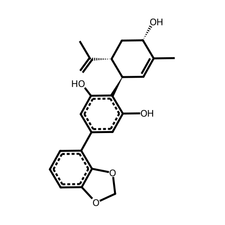 C=C(C)[C@@H]1C[C@H](O)C(C)=C[C@H]1c1c(O)cc(-c2cccc3c2OCO3)cc1O